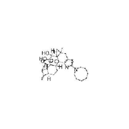 C=C1C2C(=O)[C@]34[C@H]2[C@H]1CC[C@H]3[C@@]12CO[C@@]4(O)[C@@H](O)[C@@H]1C(C)(C)Cc1sc(N3CCCCCCC3)nc12